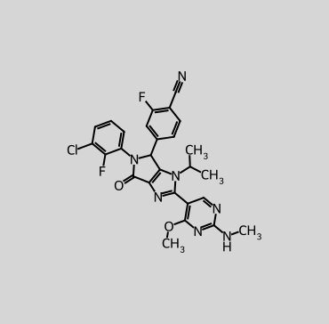 CNc1ncc(-c2nc3c(n2C(C)C)C(c2ccc(C#N)c(F)c2)N(c2cccc(Cl)c2F)C3=O)c(OC)n1